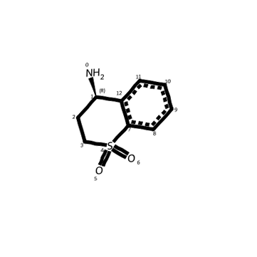 N[C@@H]1CCS(=O)(=O)c2ccccc21